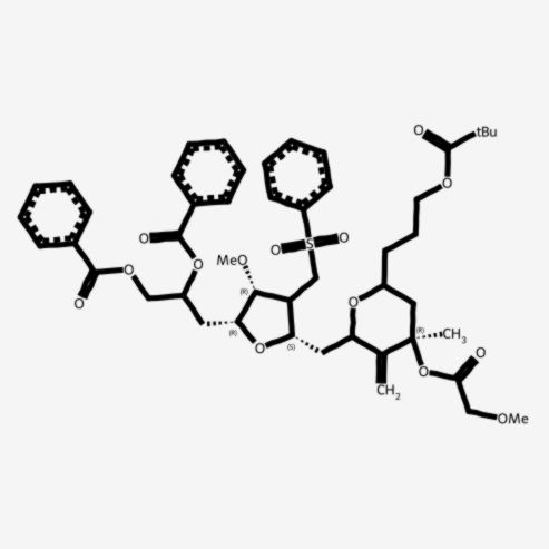 C=C1C(C[C@@H]2O[C@H](CC(COC(=O)c3ccccc3)OC(=O)c3ccccc3)[C@H](OC)C2CS(=O)(=O)c2ccccc2)OC(CCCOC(=O)C(C)(C)C)C[C@@]1(C)OC(=O)COC